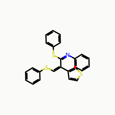 C(Sc1ccccc1)=C(C(=Nc1ccccc1)Sc1ccccc1)c1ccsc1